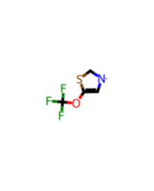 FC(F)(F)OC1=C[N]CS1